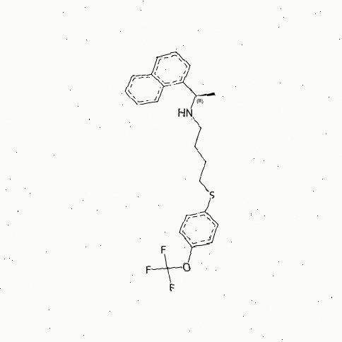 C[C@@H](NCCCCSc1ccc(OC(F)(F)F)cc1)c1cccc2ccccc12